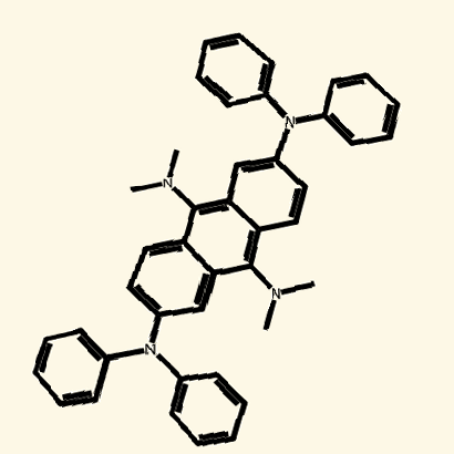 CN(C)c1c2ccc(N(c3ccccc3)c3ccccc3)cc2c(N(C)C)c2ccc(N(c3ccccc3)c3ccccc3)cc12